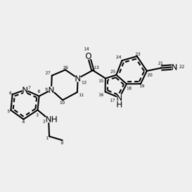 CCNc1cccnc1N1CCN(C(=O)c2c[nH]c3cc(C#N)ccc23)CC1